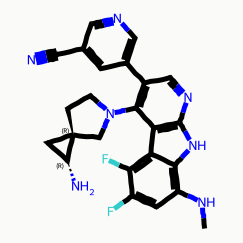 CNc1cc(F)c(F)c2c1[nH]c1ncc(-c3cncc(C#N)c3)c(N3CC[C@@]4(C[C@H]4N)C3)c12